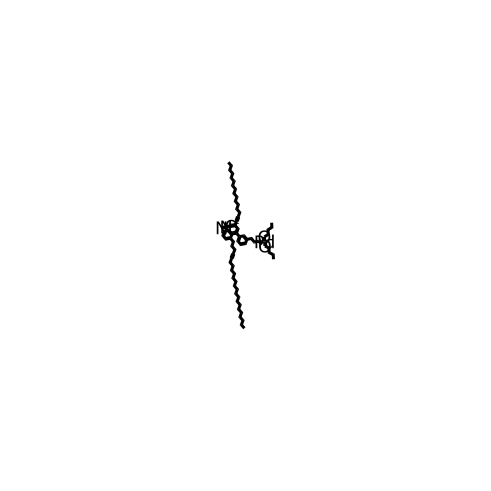 CCCCCCCCCCCCCCC#CC(=C=[N+]=[N-])C=C(c1cccc(CCCC)c1)c1ccccc1CCCC#CCCCCCCCCCCCCCCCCCC.CCCC[O][Pd][O]CCCC